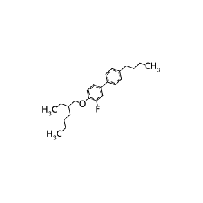 CCCCc1ccc(-c2ccc(OCC(CC)CCCC)c(F)c2)cc1